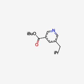 CC(C)COC(=O)c1cncc(CC(C)C)c1